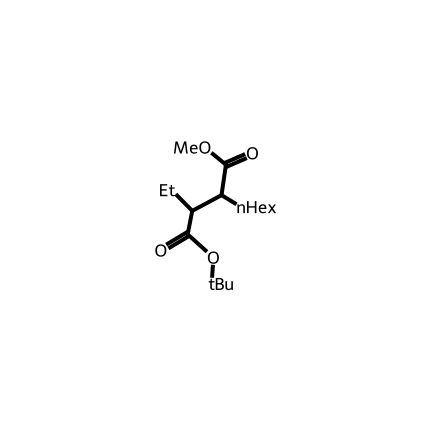 CCCCCCC(C(=O)OC)C(CC)C(=O)OC(C)(C)C